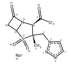 C[C@]1(Cn2ccnn2)[C@H](C(=O)[O-])N2C(=O)CC2S1(=O)=O.[Na+]